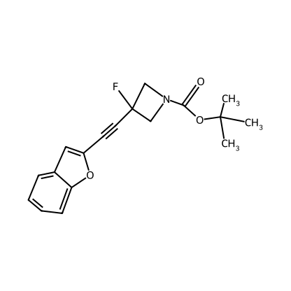 CC(C)(C)OC(=O)N1CC(F)(C#Cc2cc3ccccc3o2)C1